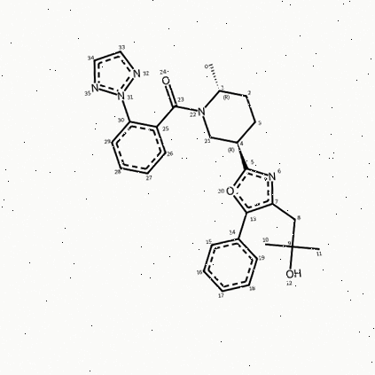 C[C@@H]1CC[C@@H](c2nc(CC(C)(C)O)c(-c3ccccc3)o2)CN1C(=O)c1ccccc1-n1nccn1